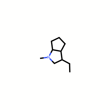 CCC1CN(C)C2CCCC12